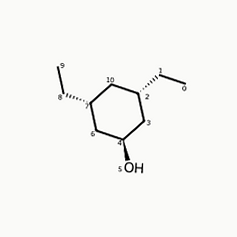 CC[C@@H]1C[C@@H](O)C[C@H](CC)C1